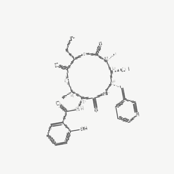 CC(C)CC1OC(=O)[C@H](C)[C@H](O)[C@H](Cc2cccnc2)NC(=O)[C@@H](NC(=O)c2ccccc2O)[C@@H](C)OC1=O